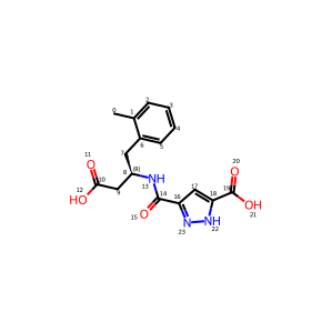 Cc1ccccc1C[C@H](CC(=O)O)NC(=O)c1cc(C(=O)O)[nH]n1